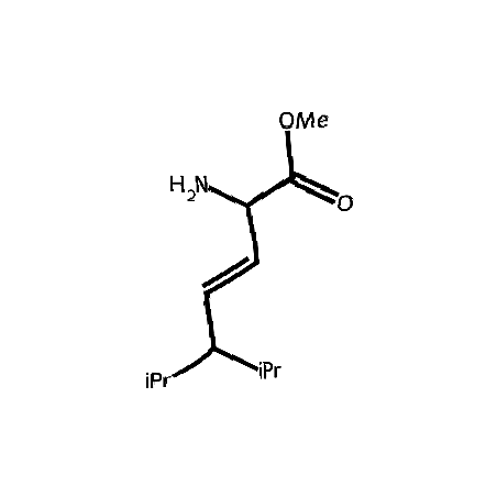 COC(=O)C(N)C=CC(C(C)C)C(C)C